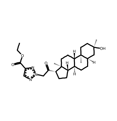 CCOC(=O)c1cnn(CC(=O)[C@H]2CC[C@H]3[C@@H]4CC[C@@H]5C[C@](C)(O)CC[C@]5(C)[C@H]4CC[C@]23C)n1